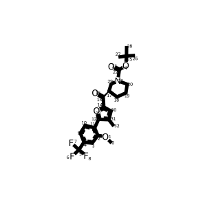 COc1cc(C(F)(F)F)ccc1-c1oc(C(=O)[C@@H]2CCCN(C(=O)OC(C)(C)C)C2)cc1C